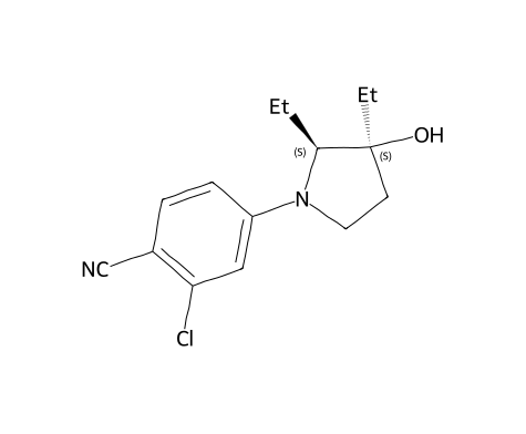 CC[C@@H]1N(c2ccc(C#N)c(Cl)c2)CC[C@@]1(O)CC